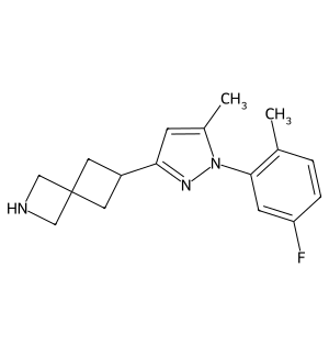 Cc1ccc(F)cc1-n1nc(C2CC3(CNC3)C2)cc1C